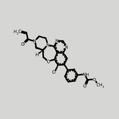 C=CC(=O)N1CCN2c3ncnc4cc(-c5cccc(NC(=O)OC)c5)c(Cl)c(c34)OC[C@@H]2C1